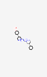 COc1ccc(-c2ccnc(CCC3CC(c4ccccc4)=CCN3)c2)cc1